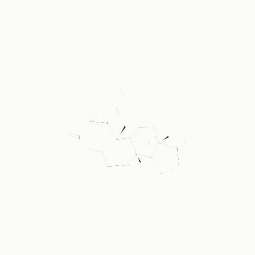 CSCC[C@@]12C3=CC[C@]4(C)C(=O)CC[C@H]4[C@@H]3CCC1CC(=O)C1OC12